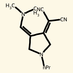 CCCN1CC(=C(C#N)C#N)/C(=C\N(C)C)C1